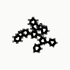 c1ccc(-c2cc(-c3ccccc3)cc(N(c3ccc(-c4ccc5sc6ccccc6c5c4)cc3)c3cccc4oc5c6ccccc6ccc5c34)c2)cc1